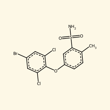 Cc1ccc(Oc2c(Cl)cc(Br)cc2Cl)cc1S(N)(=O)=O